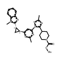 Cc1nc([C@H]2C[C@@H]2c2nc3ccccc3n2C)cc(-n2nc(C)nc2C2CCN(C(=O)OC(C)(C)C)CC2)n1